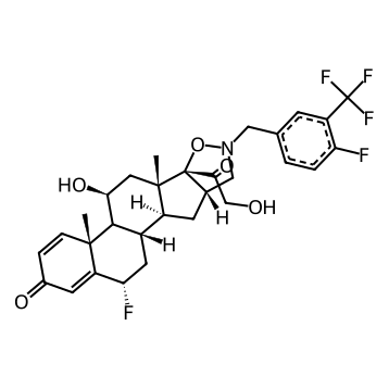 C[C@]12C=CC(=O)C=C1[C@@H](F)C[C@@H]1C2[C@@H](O)C[C@@]2(C)[C@H]1C[C@H]1CN(Cc3ccc(F)c(C(F)(F)F)c3)O[C@]12C(=O)CO